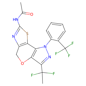 CC(=O)Nc1nc2c(s1)-c1c(c(C(C)(F)F)nn1-c1ccccc1C(F)(F)F)OC2